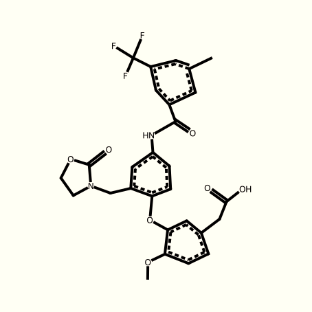 COc1ccc(CC(=O)O)cc1Oc1ccc(NC(=O)c2cc(C)cc(C(F)(F)F)c2)cc1CN1CCOC1=O